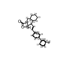 O=C1OC[C@H]2C(/C=C/c3ccc(-c4cccc(F)c4)cn3)C3CCCCC3CN12